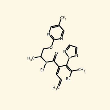 C=C/C=C(C(=O)N(CC)[C@@H](C)COc1ncc(C(F)(F)F)cn1)\C(=C(\C)CC)n1nccn1